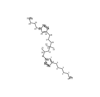 CC(C)CCCCCc1cn(CC(C)CC(C)(C)CCCc2cn(CCCC(C)C)nn2)nn1